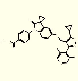 COC(=O)c1ccc(N2C(=O)C3(CC3)c3cc(OCc4c(-c5c(Cl)cncc5Cl)noc4C4CC4)ccc32)cc1